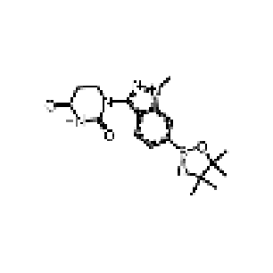 Cn1nc(N2CCC(=O)NC2=O)c2ccc(B3OC(C)(C)C(C)(C)O3)cc21